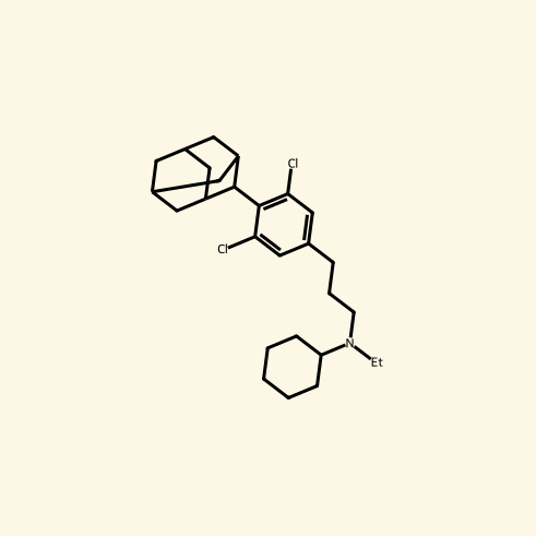 CCN(CCCc1cc(Cl)c(C2C3CC4CC(C3)CC2C4)c(Cl)c1)C1CCCCC1